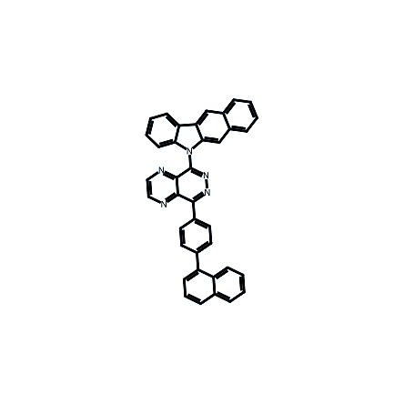 c1ccc2cc3c(cc2c1)c1ccccc1n3-c1nnc(-c2ccc(-c3cccc4ccccc34)cc2)c2nccnc12